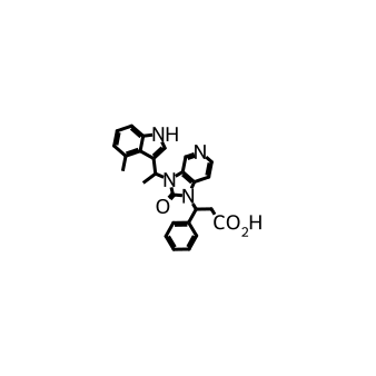 Cc1cccc2[nH]cc(C(C)n3c(=O)n(C(CC(=O)O)c4ccccc4)c4ccncc43)c12